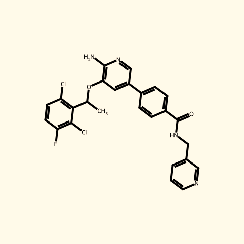 CC(Oc1cc(-c2ccc(C(=O)NCc3cccnc3)cc2)cnc1N)c1c(Cl)ccc(F)c1Cl